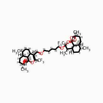 C[C@@H]1CC[C@H]2[C@@H](C)[C@](OCCCCCOCC3=C(C(F)(F)F)O[C@@H]4O[C@]5(C)CC[C@H]6[C@H](C)CC[C@@H]3[C@@]46OO5)(C(F)(F)F)O[C@@H]3O[C@]4(C)CC[C@@H]1[C@]32OO4